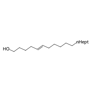 CCCCCCCCCCCCC=CCCCCO